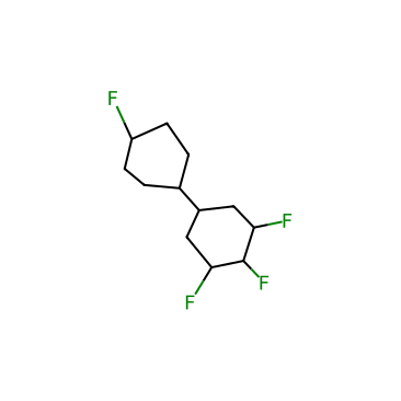 FC1CCC(C2CC(F)C(F)C(F)C2)CC1